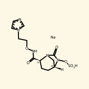 O=C(NOCCn1ccnc1)[C@@H]1CC[C@@H]2CN1C(=O)N2OS(=O)(=O)O.[Na]